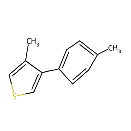 Cc1ccc(-c2cscc2C)cc1